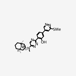 CSc1cc(-c2ccc(-c3ncc(N(C)[C@H]4C[C@]5(C)CCC[C@](C)(C4)N5)nn3)c(O)c2)cnn1